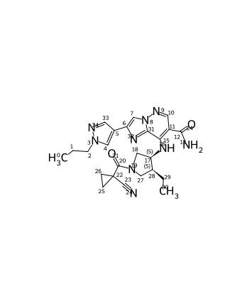 CCCn1cc(-c2cn3ncc(C(N)=O)c(N[C@@H]4CN(C(=O)C5(C#N)CC5)C[C@@H]4CC)c3n2)cn1